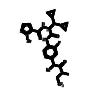 CCC(C(=O)N(C)CC(F)(F)F)c1ccc(NC(=O)[C@@H](NC(=O)c2ccnn2C(C)C)C(C2CC2)C2CC2)c(F)c1